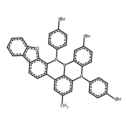 Cc1cc2c3c(c1)N(c1ccc(C(C)(C)C)cc1)c1ccc(C(C)(C)C)cc1B3N(c1ccc(C(C)(C)C)cc1)c1c-2ccc2c1oc1ccccc12